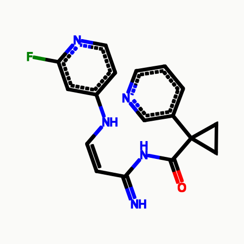 N=C(/C=C\Nc1ccnc(F)c1)NC(=O)C1(c2cccnc2)CC1